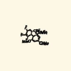 COc1cc(OC)c(-c2c(C#N)cc(F)c(F)c2F)c(OC)c1